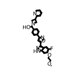 COCCOc1cc2[nH]nc(-c3cc(-c4ccc(C(O)N5CC(c6ccccn6)C5)cc4)no3)c2cc1F